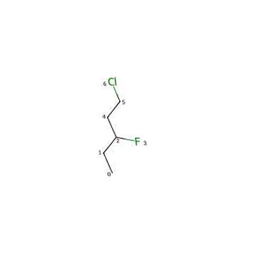 CCC(F)CCCl